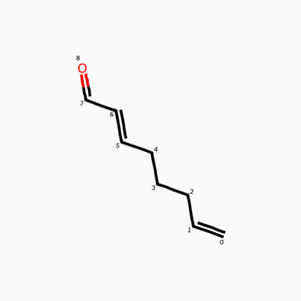 C=CCCC/C=C/C=O